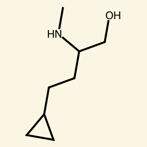 CNC(CO)CCC1CC1